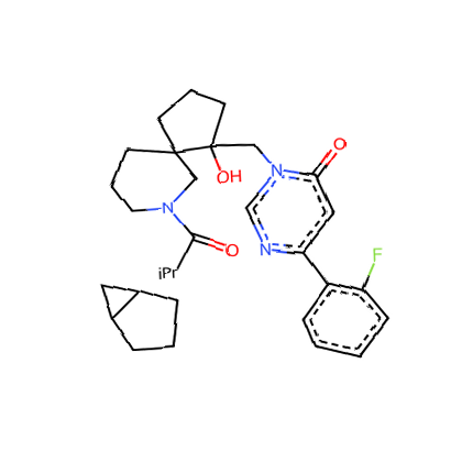 C1CC2CC2C1.CC(C)C(=O)N1CCCC2(CCCC2(O)Cn2cnc(-c3ccccc3F)cc2=O)C1